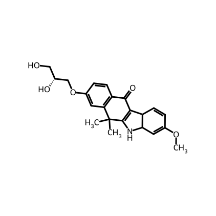 COC1=CC2NC3=C(C(=O)c4ccc(OC[C@H](O)CO)cc4C3(C)C)C2C=C1